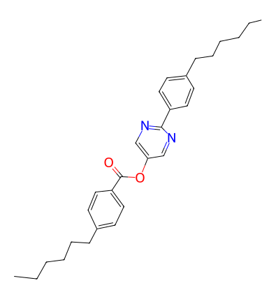 CCCCCCc1ccc(C(=O)Oc2cnc(-c3ccc(CCCCCC)cc3)nc2)cc1